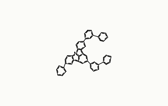 c1ccc(-c2cccc(-c3ccc4c(c3)c3cc(-c5cccc(-c6ccccc6)c5)cc5c6cc(-c7ccccc7)ccc6n4c53)c2)cc1